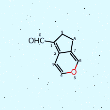 O=CC1=C2C=COC=C2CC1